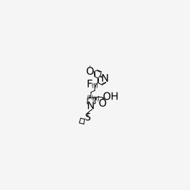 COc1ccc2nccc([C@@H](F)CC[C@@H]3CCN(CCSC4CCC4)C[C@@H]3CC(=O)O)c2c1